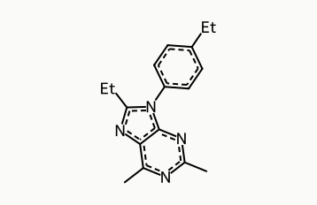 [CH2]Cc1ccc(-n2c(CC)nc3c(C)nc(C)nc32)cc1